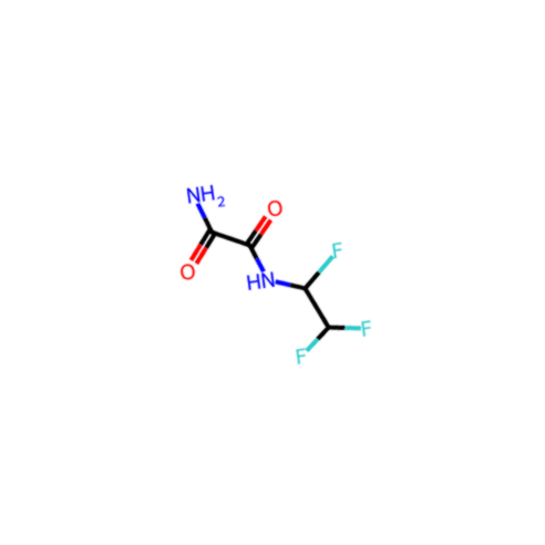 NC(=O)C(=O)NC(F)C(F)F